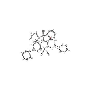 O=P(c1ccccc1)(c1ccccc1)N1c2ccc(-c3ccccc3)cc2S(=O)(=O)c2cc(-c3ccccc3)ccc21